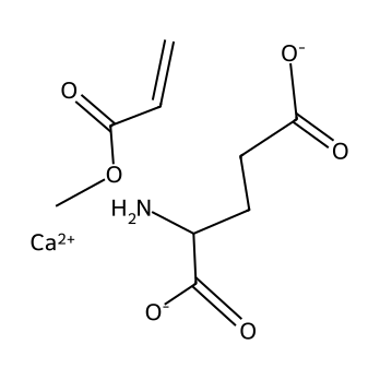 C=CC(=O)OC.NC(CCC(=O)[O-])C(=O)[O-].[Ca+2]